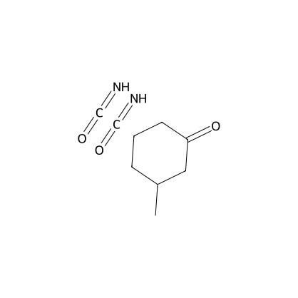 CC1CCCC(=O)C1.N=C=O.N=C=O